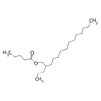 CCCCCCCCCCCCC(CCC)COC(=O)CCCC